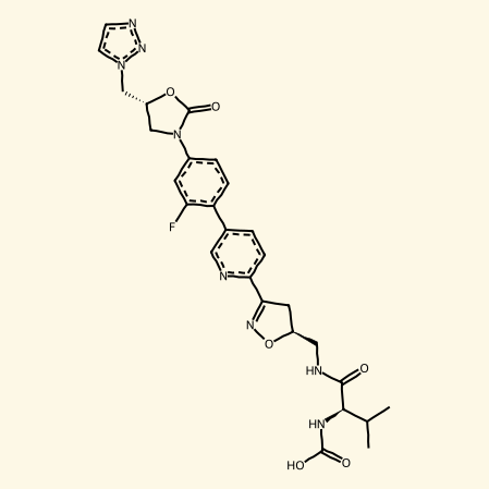 CC(C)[C@@H](NC(=O)O)C(=O)NC[C@@H]1CC(c2ccc(-c3ccc(N4C[C@H](Cn5ccnn5)OC4=O)cc3F)cn2)=NO1